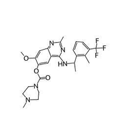 COc1cc2nc(C)nc(NC(C)c3cccc(C(F)(F)F)c3C)c2cc1OC(=O)N1CCN(C)CC1